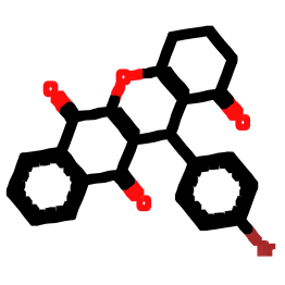 O=C1CCCC2=C1C(c1ccc(Br)cc1)C1=C(O2)C(=O)c2ccccc2C1=O